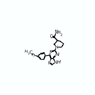 COc1ccc(-c2nc(N3CCCC(C(N)=O)C3)nc3[nH]cnc23)cc1